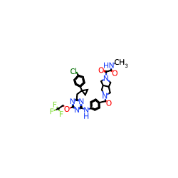 CNC(=O)C(=O)N1CC2CN(C(=O)c3ccc(Nc4nc(CC5(c6ccc(Cl)cc6)CC5)nc(OCC(F)(F)F)n4)cc3)CC2C1